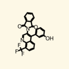 O=C1c2ccccc2C(=O)N1c1cnc2c(C(F)(F)F)cccc2c1-c1cccc(O)c1